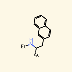 CCNC(Cc1ccc2ccccc2c1)C(C)=O